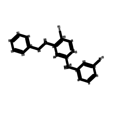 Fc1cccc(Nc2ncc(I)c(OCc3ccccc3)n2)c1